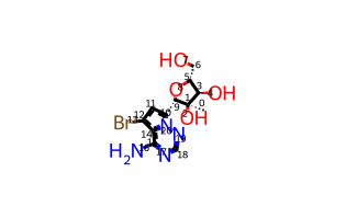 C[C@@]1(O)[C@H](O)[C@@H](CO)O[C@H]1c1cc(Br)c2c(N)ncnn12